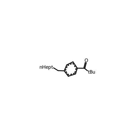 CCCCCCCCc1ccc(C(=O)C(C)(C)C)cc1